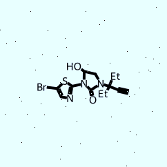 C#CC(CC)(CC)N1CC(O)N(c2ncc(Br)s2)C1=O